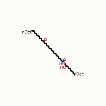 CCCCCCCC/C=C\CCCCCCCC(=O)CCCCCCCCCCCCCCCC(=O)NC[C@H](O)CCCCCCCCCCCCCCCC